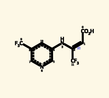 O=C(O)/C=C(\Nc1cncc(C(F)(F)F)c1)C(F)(F)F